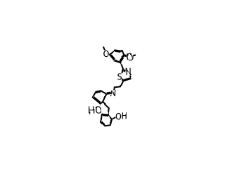 COc1ccc(OC)c(-c2ncc(CCN=C3C=CC=CC3Cc3c(O)cccc3O)s2)c1